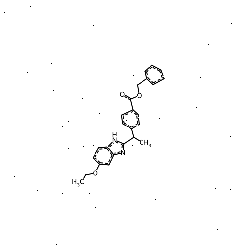 CCOc1ccc2[nH]c(C(C)c3ccc(C(=O)OCc4ccccc4)cc3)nc2c1